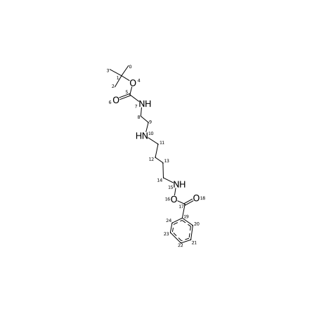 CC(C)(C)OC(=O)NCCNCCCCNOC(=O)c1ccccc1